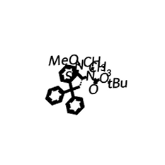 CON(C)C(=S)[C@@H](CC(c1ccccc1)(c1ccccc1)c1ccccc1)N(C)C(=O)OC(C)(C)C